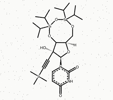 CC(C)[Si]1(C(C)C)OC[C@H]2O[C@@H](n3ccc(=O)[nH]c3=O)[C@@](O)(C#C[Si](C)(C)C)C2O[Si](C(C)C)(C(C)C)O1